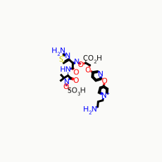 CC1(C)[C@H](NC(=O)/C(=N\O[C@@H](COc2ccc(Oc3cc[n+](CCCN)cc3)nc2)C(=O)O)c2csc(N)n2)C(=O)N1OS(=O)(=O)O